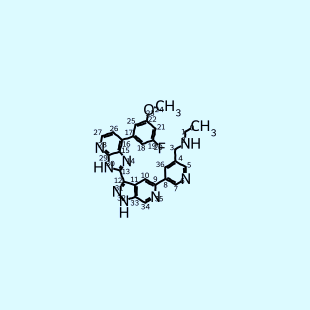 CCNCc1cncc(-c2cc3c(-c4nc5c(-c6cc(F)cc(OC)c6)ccnc5[nH]4)n[nH]c3cn2)c1